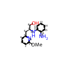 COc1cccc(C[C@@H](CO)Nc2ccccc2N)n1